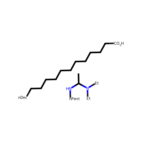 CCCCCCCCCCCCCCCCCCCCCC(=O)O.CCCCCNC(C)N(CC)CC